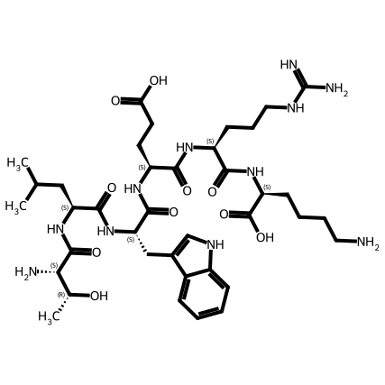 CC(C)C[C@H](NC(=O)[C@@H](N)[C@@H](C)O)C(=O)N[C@@H](Cc1c[nH]c2ccccc12)C(=O)N[C@@H](CCC(=O)O)C(=O)N[C@@H](CCCNC(=N)N)C(=O)N[C@@H](CCCCN)C(=O)O